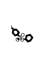 O=S(=O)(Oc1ccccc1)c1ccc(I)cc1